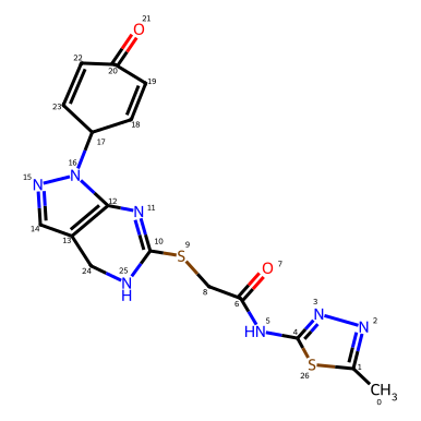 Cc1nnc(NC(=O)CSC2=Nc3c(cnn3C3C=CC(=O)C=C3)CN2)s1